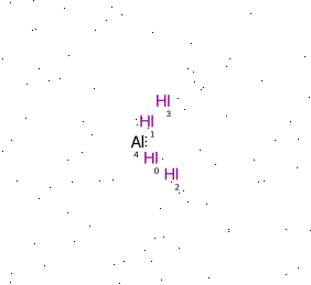 I.I.I.I.[Al]